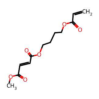 C=CC(=O)OCCCCOC(=O)/C=C/C(=O)OC